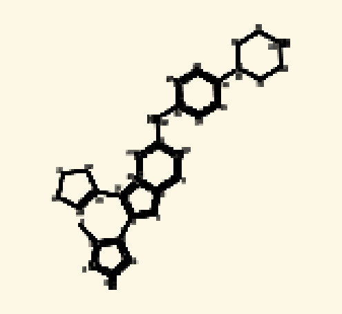 Cc1n[nH]cc1-c1cc2cnc(Nc3ccc(N4CCNCC4)cn3)nn2c1C1=CCCC1